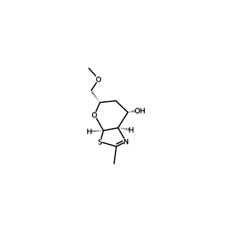 COC[C@@H]1C[C@H](O)[C@H]2N=C(C)S[C@H]2O1